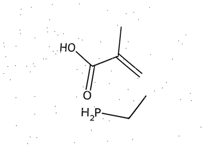 C=C(C)C(=O)O.CCP